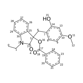 CCN1C(=O)C(Cc2ccc(OC)cc2O)(OC(=O)c2ccccc2)c2ccccc21